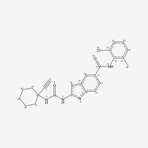 C#CC1(NC(=O)Nc2nc3ccc(C(=O)Nc4c(C)cccc4Cl)cc3s2)CCCCC1